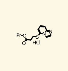 CC(C)OC(=O)CCSc1cccc2nccn12.Cl